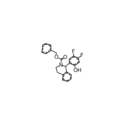 O=C(OCc1ccccc1)N1CCc2ccccc2C1c1cc(F)c(F)cc1O